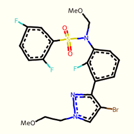 COCCn1cc(Br)c(-c2cccc(N(COC)S(=O)(=O)c3cc(F)ccc3F)c2F)n1